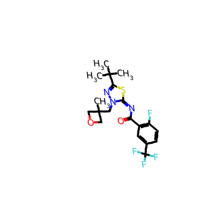 CC1(Cn2nc(C(C)(C)C)sc2=NC(=O)c2cc(C(F)(F)F)ccc2F)COC1